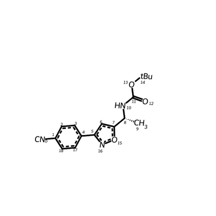 [C-]#[N+]c1ccc(-c2cc([C@@H](C)NC(=O)OC(C)(C)C)on2)cc1